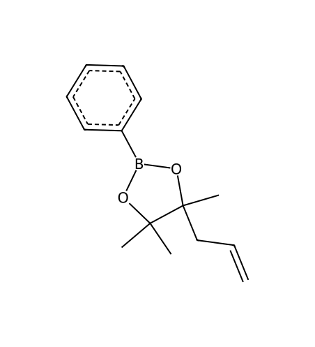 C=CCC1(C)OB(c2ccccc2)OC1(C)C